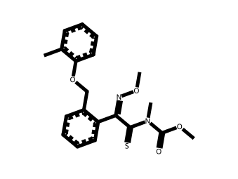 CON=C(C(=S)N(C)C(=O)OC)c1ccccc1COc1ccccc1C